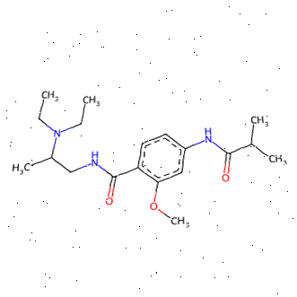 CCN(CC)C(C)CNC(=O)c1ccc(NC(=O)C(C)C)cc1OC